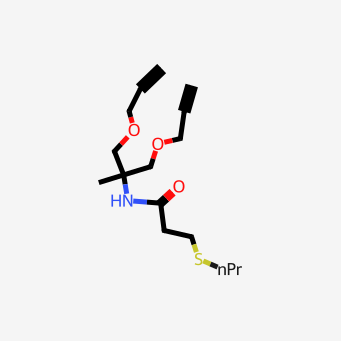 C#CCOCC(C)(COCC#C)NC(=O)CCSCCC